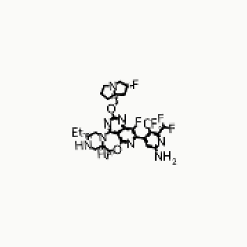 CC[C@@H]1CN2c3nc(OC[C@@]45CCCN4C[C@H](F)C5)nc4c(F)c(-c5cc(N)nc(C(F)F)c5C(F)(F)F)nc(c34)O[C@@H](C)[C@@H]2CN1